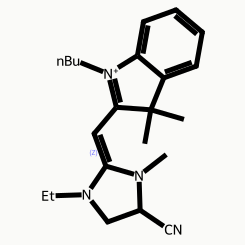 CCCC[N+]1=C(/C=C2/N(CC)CC(C#N)N2C)C(C)(C)c2ccccc21